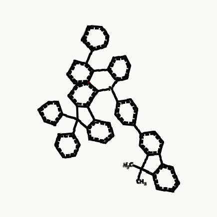 CC1(C)c2ccccc2-c2ccc(-c3ccc(N(c4ccccc4-c4ccccc4-c4ccccc4)c4cccc5c4-c4ccccc4C5(c4ccccc4)c4ccccc4)cc3)cc21